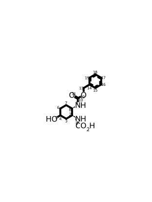 O=C(O)N[C@@H]1CC(O)CC[C@@H]1NC(=O)OCc1ccccc1